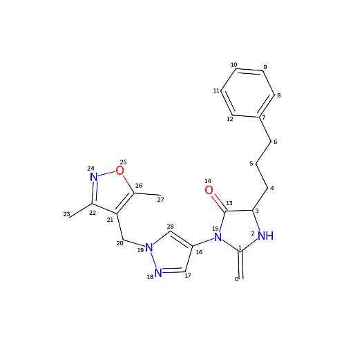 C=C1NC(CCCc2ccccc2)C(=O)N1c1cnn(Cc2c(C)noc2C)c1